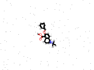 COC(=O)c1c(OCc2ccccc2)ccc2c1CCC1C2N1C(C)(C)C